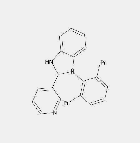 CC(C)c1cccc(C(C)C)c1N1c2ccccc2NC1c1cccnc1